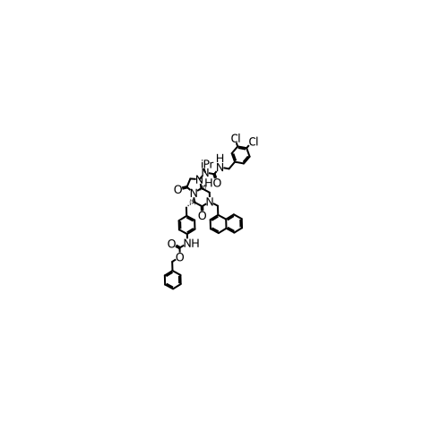 CC(C)N(C(=O)NCc1ccc(Cl)c(Cl)c1)N1CC(=O)N2[C@@H](Cc3ccc(NC(=O)OCc4ccccc4)cc3)C(=O)N(Cc3cccc4ccccc34)C[C@@H]21